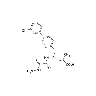 CC(CC(Cc1ccc(-c2cccc(Cl)c2)cc1)NC(=O)C(=O)NN)C(=O)O